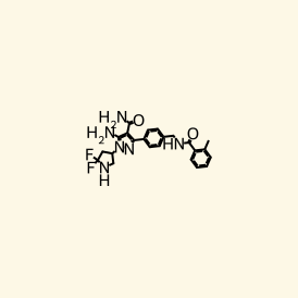 Cc1ccccc1C(=O)NCc1ccc(-c2nn(C3CNC(F)(F)C3)c(N)c2C(N)=O)cc1